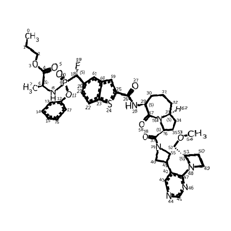 CCCOC(=O)[C@H](C)NP(=O)(Oc1ccccc1)[C@H](F)c1ccc2sc(C(=O)N[C@H]3CCC[C@H]4CC[C@@H](C(=O)N5CC(c6cncnc6N6CC[C@H]6COC)C5)N4C3=O)cc2c1